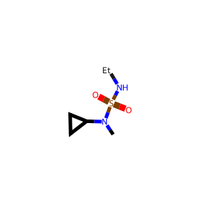 CCNS(=O)(=O)N(C)C1CC1